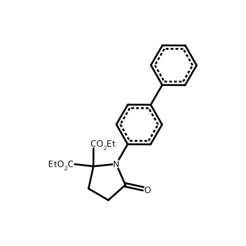 CCOC(=O)C1(C(=O)OCC)CCC(=O)N1c1ccc(-c2ccccc2)cc1